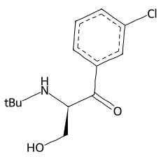 CC(C)(C)N[C@H](CO)C(=O)c1cccc(Cl)c1